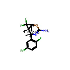 COC[C@@]12SC(N)=N[C@](C)(c3cc(Br)ccc3F)[C@@H]1C2(F)F